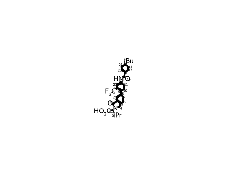 CC(C)[C@@H](C(=O)O)N1Cc2ccc(-c3ccc(NC(=O)c4ccc(C(C)(C)C)cc4)cc3C(F)(F)F)cc2C1=O